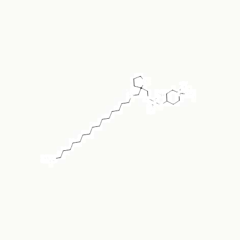 CCCCCCCCCCCCCCCCOCC1(COP(=O)(O)OC2CC[N+](C)(C)CC2)CCCO1